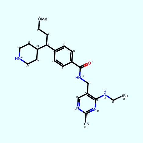 COCCC(c1ccc(C(=O)NCc2cnc(C#N)nc2NCC(C)(C)C)cc1)C1CCNCC1